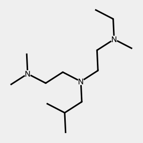 CCN(C)CCN(CCN(C)C)CC(C)C